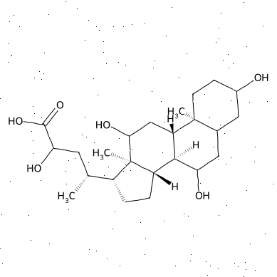 C[C@H](CC(O)C(=O)O)[C@H]1CC[C@H]2[C@@H]3C(O)CC4CC(O)CC[C@]4(C)[C@H]3CC(O)[C@]12C